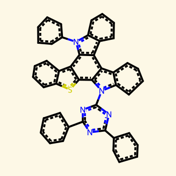 c1ccc(-c2nc(-c3ccccc3)nc(-n3c4ccccc4c4c5c6ccccc6n(-c6ccccc6)c5c5c6ccccc6sc5c43)n2)cc1